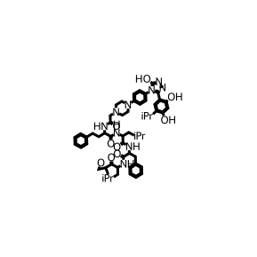 CC(C)CC(NC(=O)C(CCc1ccccc1)NC(=O)CN1CCN(c2ccc(-n3c(O)nnc3-c3cc(C(C)C)c(O)cc3O)cc2)CC1)C(=O)NC(Cc1ccccc1)C(=O)NC(CC(C)C)C(=O)C1(C)CO1